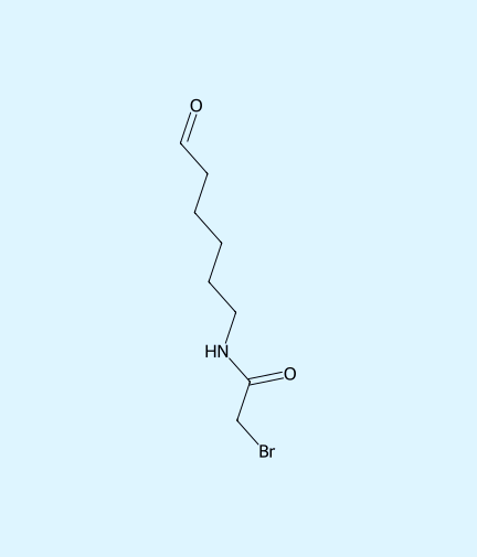 O=CCCCCCNC(=O)CBr